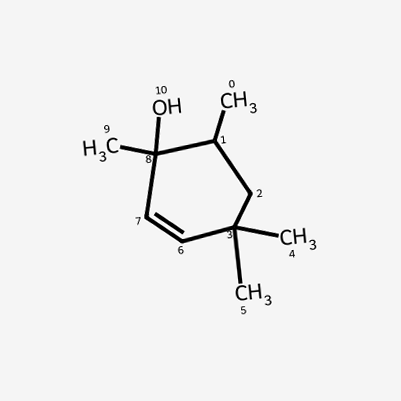 CC1CC(C)(C)C=CC1(C)O